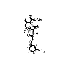 C=C1C[S+]([O-])[C@H]2C(NC(=O)COc3cccc([N+](=O)[O-])c3)C(=O)N2C1C(=O)OC